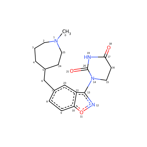 CN1CCCC(Cc2ccc3onc(N4CCC(=O)NC4=O)c3c2)CC1